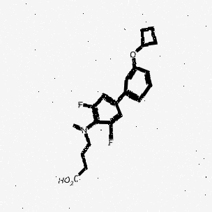 CN(CCCC(=O)O)c1c(F)cc(-c2cccc(OC3CCC3)c2)cc1F